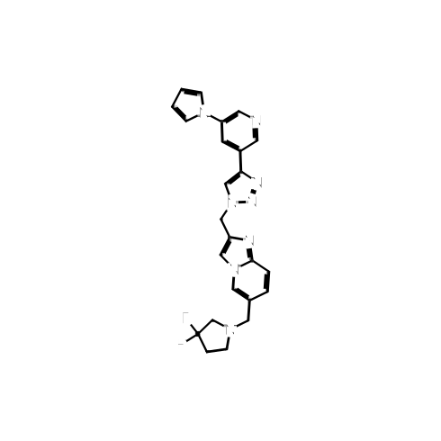 FC1(F)CCN(Cc2ccc3nc(Cn4cc(-c5cncc(-n6cccc6)c5)nn4)cn3c2)C1